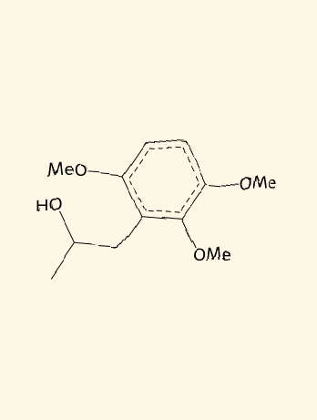 COc1ccc(OC)c(OC)c1CC(C)O